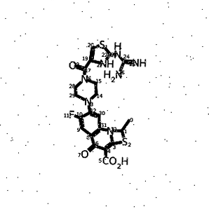 CC1Sc2c(C(=O)O)c(=O)c3cc(F)c(N4CCN(C(=O)C5=CSC(NC(=N)N)N5)CC4)cc3n21